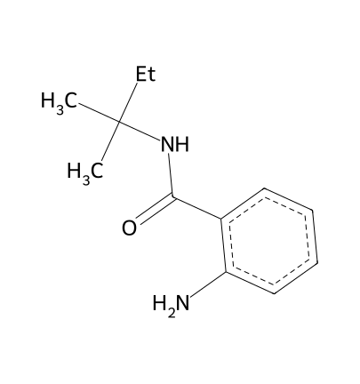 [CH2]CC(C)(C)NC(=O)c1ccccc1N